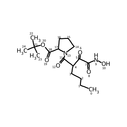 CCCCC(C(=O)C(=O)NO)C(=O)N1CCCC1C(=O)OC(C)(C)C